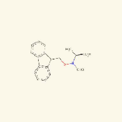 C[C@@H](C(=O)O)N(C=O)OCC1c2ccccc2-c2ccccc21